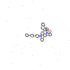 c1ccc(-c2ccc(-c3ccc(N(c4ccc(-c5cccc6c5ccc5ccccc56)cc4)c4ccccc4-c4ccc5c(c4)c4cccc6c4n5-c4ccccc4O6)cc3)cc2)cc1